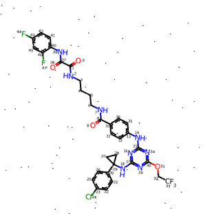 O=C(NCCCCNC(=O)c1ccc(Nc2nc(NC3(c4ccc(Cl)cc4)CC3)nc(OCC(F)(F)F)n2)cc1)C(=O)Nc1ccc(F)cc1F